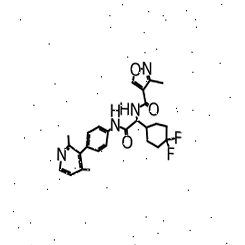 Cc1ccnc(C)c1-c1ccc(NC(=O)C(NC(=O)c2conc2C)C2CCC(F)(F)CC2)cc1